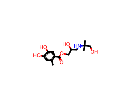 Cc1cc(O)c(O)cc1C(=O)OCC(O)CNC(C)(C)CO